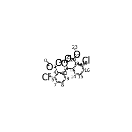 COC(=O)c1c(Cl)cccc1C(=O)c1cccc(Cl)c1C(=O)OC